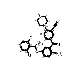 N#Cc1cc(C(=N)c2cc(O[C@H](N)c3c(Cl)cncc3Cl)ccc2N)cnc1N1CCOCC1